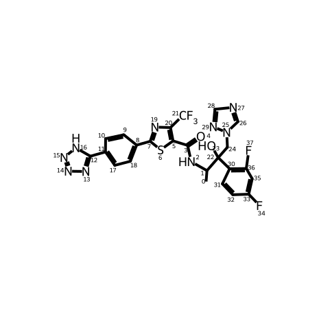 CC(NC(=O)c1sc(-c2ccc(-c3nnn[nH]3)cc2)nc1C(F)(F)F)C(O)(Cn1cncn1)c1ccc(F)cc1F